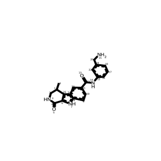 CC1CNC(=O)c2[nH]c3ccc(C(=O)Nc4cccc(CN)c4)cc3c21